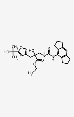 CCOC(=O)C(O)(CNC(=S)Nc1c2c(cc3c1CCC3)CCC2)Cc1cc(C(C)(C)O)on1